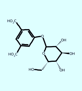 O=C(O)c1cc(OC2O[C@@H](CO)[C@@H](O)[C@H](O)[C@H]2O)cc(C(=O)O)c1